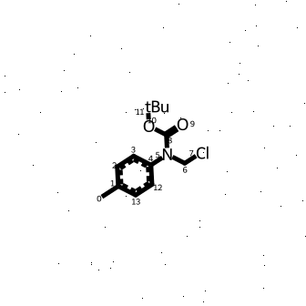 Cc1ccc(N(CCl)C(=O)OC(C)(C)C)cc1